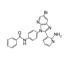 Nc1ncccc1-c1nc2cc(Br)cnc2n1-c1ccc(NC(=O)c2ccccc2)cc1